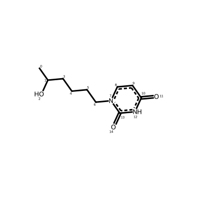 CC(O)CCCCn1ccc(=O)[nH]c1=O